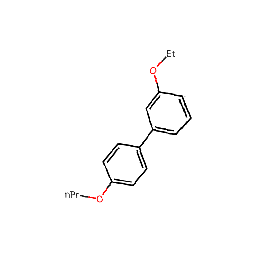 CCCOc1ccc(-c2cc[c]c(OCC)c2)cc1